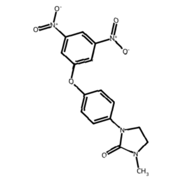 CN1CCN(c2ccc(Oc3cc([N+](=O)[O-])cc([N+](=O)[O-])c3)cc2)C1=O